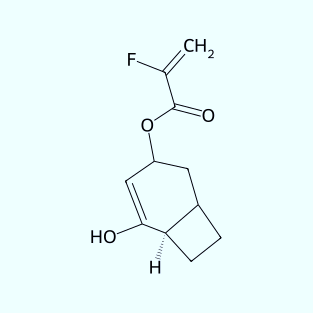 C=C(F)C(=O)OC1C=C(O)[C@@H]2CCC2C1